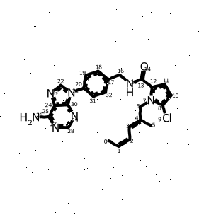 C/C=C\C=C(/C)Cn1c(Cl)ccc1C(=O)NCc1ccc(-n2cnc3c(N)ncnc32)cc1